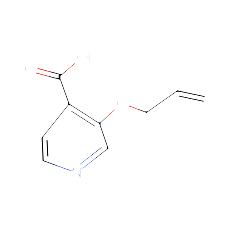 C=CCOc1cnccc1C(=O)O